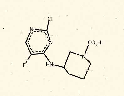 O=C(O)N1CCCC(Nc2nc(Cl)ncc2F)C1